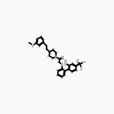 COc1cccc(CCC2CCN(C(=O)COc3ccccc3-c3ccc(C(F)(F)F)cc3O)CC2)c1